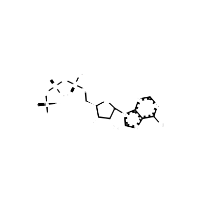 C[C@@]1(n2cnc3c(N)ncnc32)O[C@H](COP(=O)(O)OP(=O)(O)OP(=O)(O)O)[C@@H](O)[C@H]1O